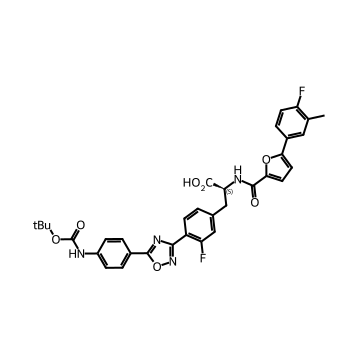 Cc1cc(-c2ccc(C(=O)N[C@@H](Cc3ccc(-c4noc(-c5ccc(NC(=O)OC(C)(C)C)cc5)n4)c(F)c3)C(=O)O)o2)ccc1F